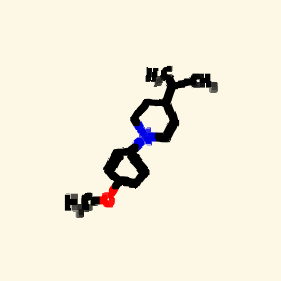 COc1ccc(N2CCC(C(C)C)CC2)cc1